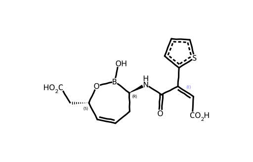 O=C(O)/C=C(\C(=O)N[C@H]1CC=C[C@H](CC(=O)O)OB1O)c1cccs1